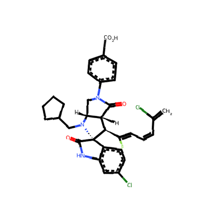 C=C(Cl)/C=C\C=C(/F)[C@@H]1[C@H]2C(=O)N(c3ccc(C(=O)O)cc3)C[C@H]2N(CC2CCCC2)[C@]12C(=O)Nc1cc(Cl)ccc12